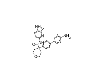 Cc1nc(NC(=O)C2(c3ccc(-c4cnc(N)nc4)cc3)CCOCC2)ccc1N